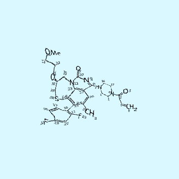 C=CC(=O)N1CCN(c2nc(=O)n3c4c(c(-c5ccc(F)cc5F)c(C)cc24)SC[C@@H](OCCOC)C3)CC1